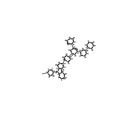 Cc1ccc(-n2c3ccncc3c3cc(-c4ccc(-c5cc(-c6cccc(-c7ccccc7)c6)nc(-c6ccccn6)c5)cc4)ccc32)cc1